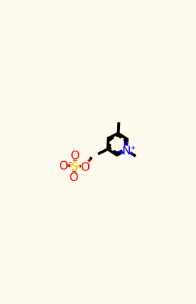 COS(=O)(=O)[O-].Cc1cc(C)c[n+](C)c1